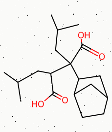 CC(C)CC(C(=O)O)C(CC(C)C)(C(=O)O)C1CC2CCC1C2